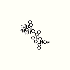 [2H]c1c([2H])c([2H])c(N(c2ccc(-c3cc4c(c5ccccc35)-c3ccc(N(c5ccc(F)cc5)c5ccc6ccccc6c5)cc3C4(c3ccccc3)c3ccccc3)cc2)c2ccc3ccccc3c2)c([2H])c1[2H]